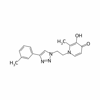 Cc1cccc(-c2cn(CCn3ccc(=O)c(O)c3C)nn2)c1